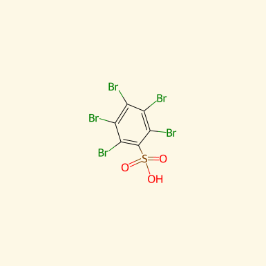 O=S(=O)(O)c1c(Br)c(Br)c(Br)c(Br)c1Br